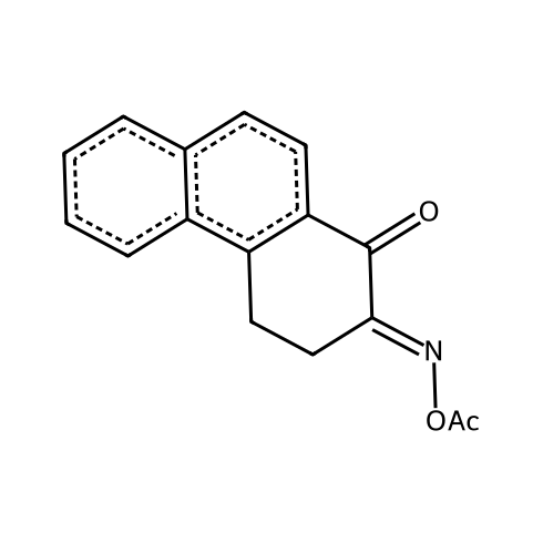 CC(=O)O/N=C1\CCc2c(ccc3ccccc23)C1=O